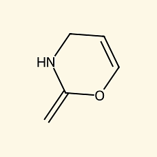 C=C1NCC=CO1